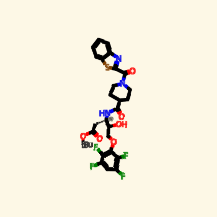 CC(C)(C)OC(=O)C[C@H](NC(=O)C1CCN(C(=O)c2nc3ccccc3s2)CC1)C(O)COc1c(F)c(F)cc(F)c1F